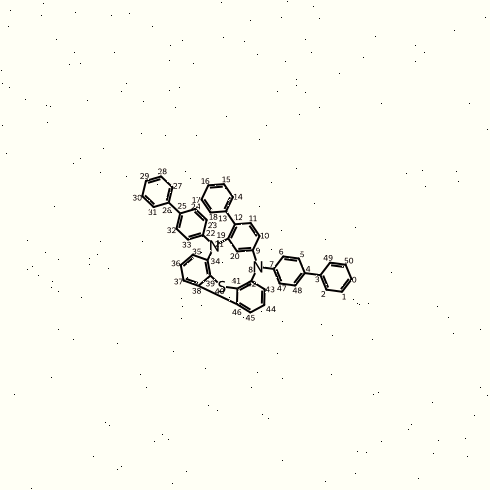 c1ccc(-c2ccc(N3c4ccc(-c5ccccc5)c(c4)N(c4ccc(-c5ccccc5)cc4)c4cccc5c4sc4c3cccc45)cc2)cc1